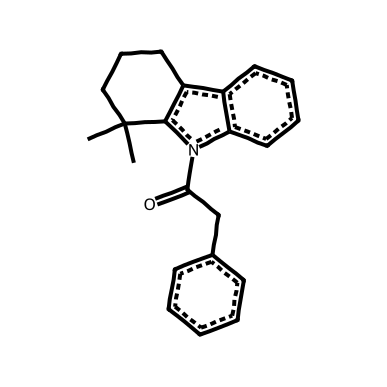 CC1(C)CCCc2c1n(C(=O)Cc1ccccc1)c1ccccc21